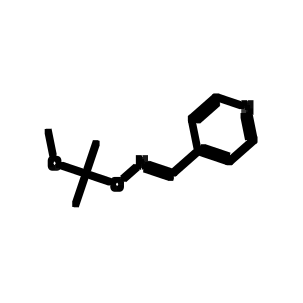 COC(C)(C)O/N=C/c1ccncc1